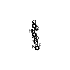 O=S(=O)(c1ccc(Nc2ccnc3cc(Cl)ccc23)cc1)N1CCN(c2c(F)cccc2F)CC1